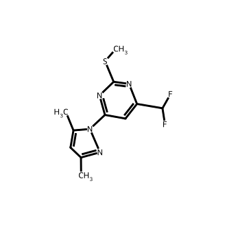 CSc1nc(C(F)F)cc(-n2nc(C)cc2C)n1